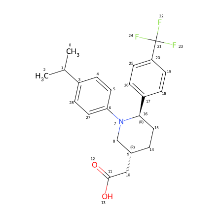 CC(C)c1ccc(N2C[C@@H](CC(=O)O)CC[C@@H]2c2ccc(C(F)(F)F)cc2)cc1